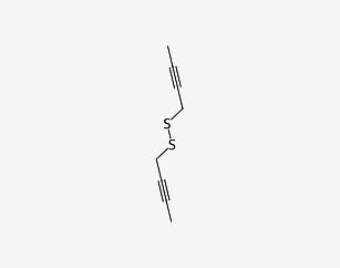 CC#CCSSCC#CC